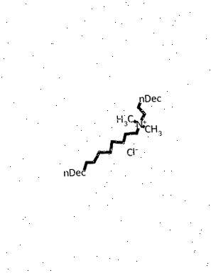 CCCCCCCCCCCCCCCCCC[N+](C)(C)CCCCCCCCCCCC.[Cl-]